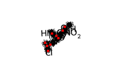 CC1(C)CCC(CN2CCN(c3ccc(C(=O)NS(=O)(=O)c4cc5c(c([N+](=O)[O-])c4)N[C@@H](c4ccccc4)CO5)c(Oc4cnc5[nH]ccc5c4)c3)CC2)=C(c2ccc(Cl)cc2)C1